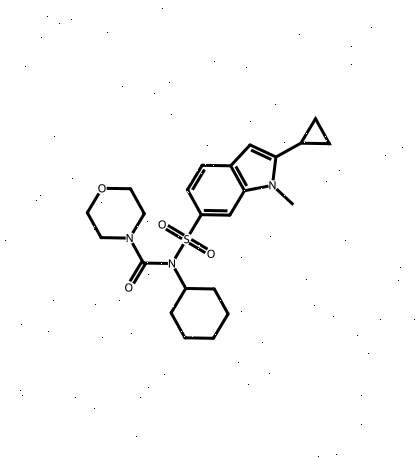 Cn1c(C2CC2)cc2ccc(S(=O)(=O)N(C(=O)N3CCOCC3)C3CCCCC3)cc21